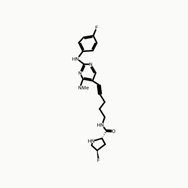 CNc1nc(Nc2ccc(F)cc2)ncc1C#CCCCNC(=O)[C@@H]1C[C@@H](F)CN1